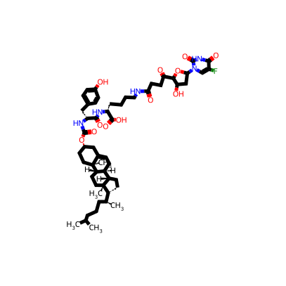 CC(C)CCC[C@@H](C)[C@H]1CC[C@H]2[C@@H]3CC=C4C[C@@H](OC(=O)N[C@H](Cc5ccc(O)cc5)C(=O)N[C@H](CCCCNC(=O)CCC(=O)C5OC(n6cc(F)c(=O)[nH]c6=O)CC5O)C(=O)O)CC[C@]4(C)[C@H]3CC[C@]12C